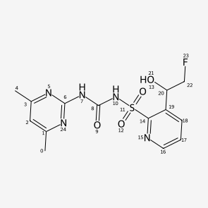 Cc1cc(C)nc(NC(=O)NS(=O)(=O)c2ncccc2C(O)CF)n1